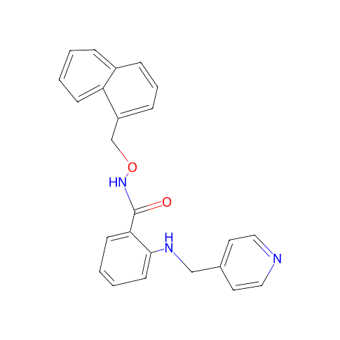 O=C(NOCc1cccc2ccccc12)c1ccccc1NCc1ccncc1